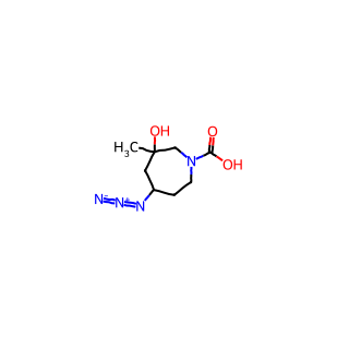 CC1(O)CC(N=[N+]=[N-])CCN(C(=O)O)C1